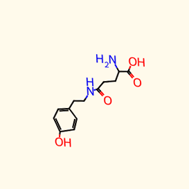 NC(CCC(=O)NCCc1ccc(O)cc1)C(=O)O